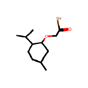 CC1CCC(C(C)C)C(OCC(=O)S)C1